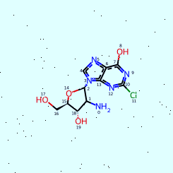 NC1[C@H](n2cnc3c(O)nc(Cl)nc32)O[C@H](CO)[C@H]1O